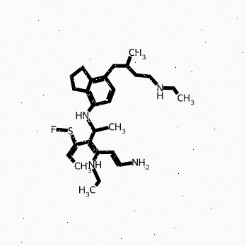 C\C=C(SF)/C(=C(/C=C/N)NCC)C(C)Nc1ccc(CC(C)CCNCC)c2c1CCC2